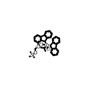 C[C](C)=[Zr]([Cl])([Cl])([CH]1c2ccccc2-c2ccccc21)[CH]1c2ccccc2-c2cccc(OCO[Si](C)(C)C)c21